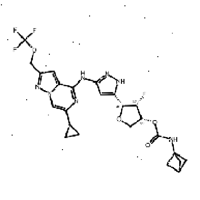 O=C(NC12CC(C1)C2)O[C@@H]1CO[C@H](c2cc(Nc3nc(C4CC4)cn4nc(COC(F)(F)F)cc34)n[nH]2)[C@@H]1F